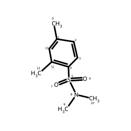 Cc1ccc(S(=O)(=O)N(C)C)c(C)c1